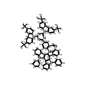 CC(C)(C)c1ccc2c(c1)c1cc(C(C)(C)C)ccc1n2-c1nc(-c2ccc(-n3c4ccccc4c4c5c(c6ccccc6n5-c5ccccc5)c5c(c6ccccc6n5-c5ccccc5)c43)c(C#N)c2)nc(-n2c3ccc(C(C)(C)C)cc3c3cc(C(C)(C)C)ccc32)n1